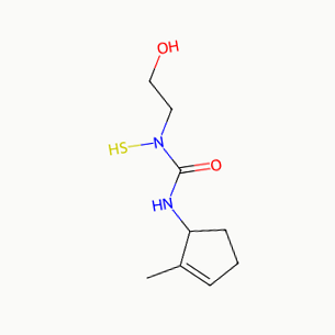 CC1=CCCC1NC(=O)N(S)CCO